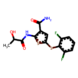 CC(O)C(=O)Nc1sc(Sc2c(F)cccc2F)cc1C(N)=O